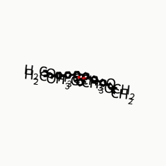 C=CC(C=C)OC(=O)c1ccc(-c2ccc(-c3ccc4c(c3)C3(c5cc(-c6ccc(-c7ccc(C(=O)OC(C=C)C=C)cc7)cc6)ccc5-4)C(C)(C)CCCC3(C)C)cc2)cc1